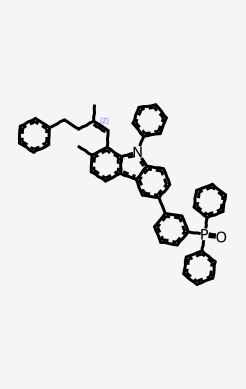 C/C(=C/c1c(C)ccc2c3cc(-c4cccc(P(=O)(c5ccccc5)c5ccccc5)c4)ccc3n(-c3ccccc3)c12)CCc1ccccc1